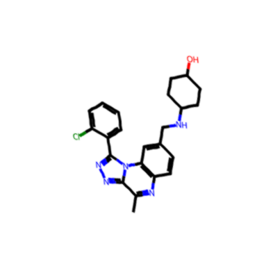 Cc1nc2ccc(CNC3CCC(O)CC3)cc2n2c(-c3ccccc3Cl)nnc12